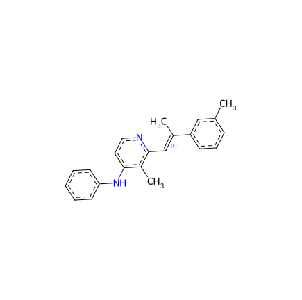 C/C(=C\c1nccc(Nc2ccccc2)c1C)c1cccc(C)c1